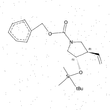 C=C[C@@H]1CN(C(=O)OCc2ccccc2)C[C@H]1O[Si](C)(C)C(C)(C)C